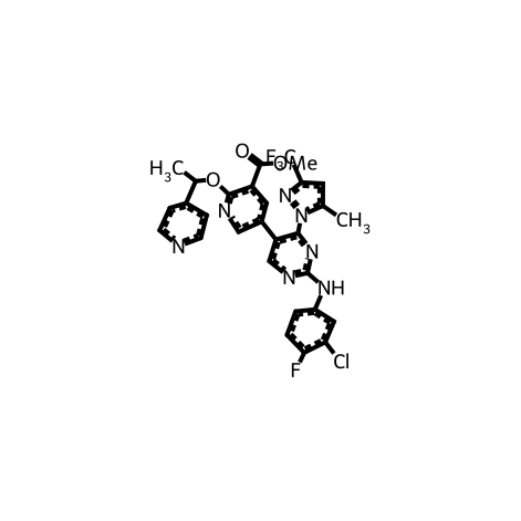 COC(=O)c1cc(-c2cnc(Nc3ccc(F)c(Cl)c3)nc2-n2nc(C(F)(F)F)cc2C)cnc1OC(C)c1ccncc1